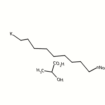 CC(O)C(=O)O.CCCCCCCCCCCCCCCCC[CH2][K]